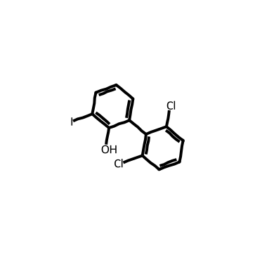 Oc1c(I)cccc1-c1c(Cl)cccc1Cl